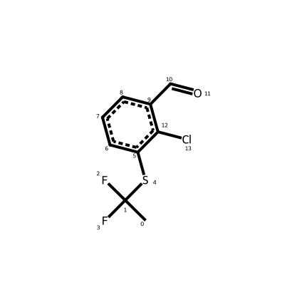 CC(F)(F)Sc1cccc(C=O)c1Cl